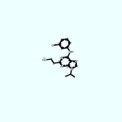 CC(C)n1cnc2c(Nc3cccc(Cl)c3)nc(CCO)nc21